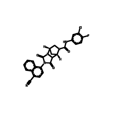 N#Cc1ccc(N2C(=O)C3[C@@H]4C[C@@H](CN4C(=O)Nc4ccc(F)c(Cl)c4)N3C2=O)c2ccccc12